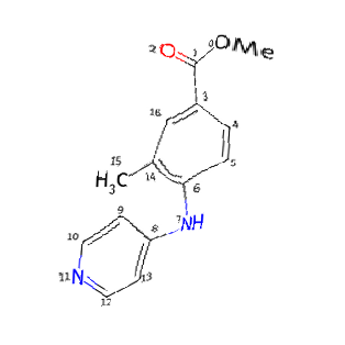 COC(=O)c1ccc(Nc2ccncc2)c(C)c1